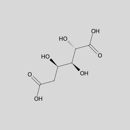 O=C(O)C[C@@H](O)[C@H](O)[C@H](O)C(=O)O